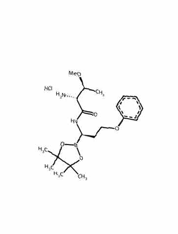 CO[C@@H](C)[C@@H](N)C(=O)N[C@@H](CCOc1ccccc1)B1OC(C)(C)C(C)(C)O1.Cl